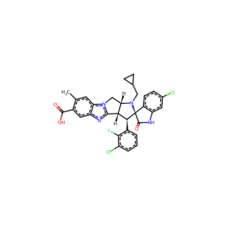 Cc1cc2c(cc1C(=O)O)nc1n2C[C@H]2[C@@H]1[C@H](c1cccc(Cl)c1F)[C@]1(C(=O)Nc3cc(Cl)ccc31)N2CC1CC1